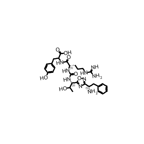 CC(O)[C@H](NC(=O)N[C@@H](CCCNC(=N)N)C(=O)NC(Cc1ccc(O)cc1)C(=O)O)c1nc([C@@H](N)Cc2ccccc2)no1